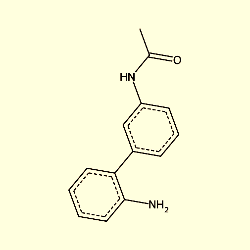 CC(=O)Nc1cccc(-c2ccccc2N)c1